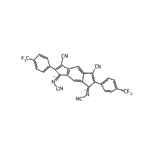 N#C/N=c1/c(-c2ccc(C(F)(F)F)cc2)c(C#N)c2cc3c(C#N)c(-c4ccc(C(F)(F)F)cc4)/c(=N/C#N)c3cc12